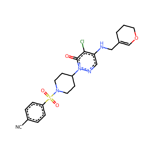 N#Cc1ccc(S(=O)(=O)N2CCC(n3ncc(NCC4=COCCC4)c(Cl)c3=O)CC2)cc1